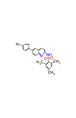 CC(=O)c1ccc(-c2ccc3nc(NS(=O)(=O)c4c(C)cc(C)cc4C)ccc3c2)cc1